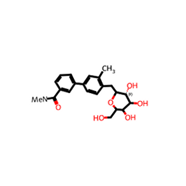 CNC(=O)c1cccc(-c2ccc(CC3OC(CO)C(O)C(O)[C@H]3O)c(C)c2)c1